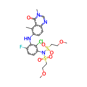 COCCS(=O)(=O)N(c1ccc(F)c(Nc2ccc3ncn(C)c(=O)c3c2C)c1Cl)S(=O)(=O)CCOC